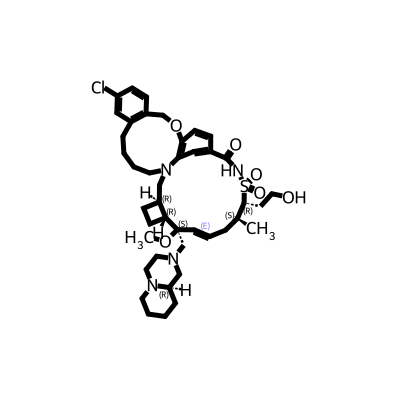 CO[C@]1(CN2CCN3CCCC[C@@H]3C2)/C=C/C[C@H](C)[C@@H](CCO)S(=O)(=O)NC(=O)c2ccc3c(c2)N(CCCCc2cc(Cl)ccc2CO3)C[C@@H]2CC[C@H]21